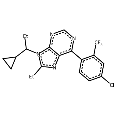 CCc1nc2c(-c3ccc(Cl)cc3C(F)(F)F)ncnc2n1C(CC)C1CC1